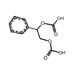 O=C(O)OCC(OC(=O)O)c1ccccc1